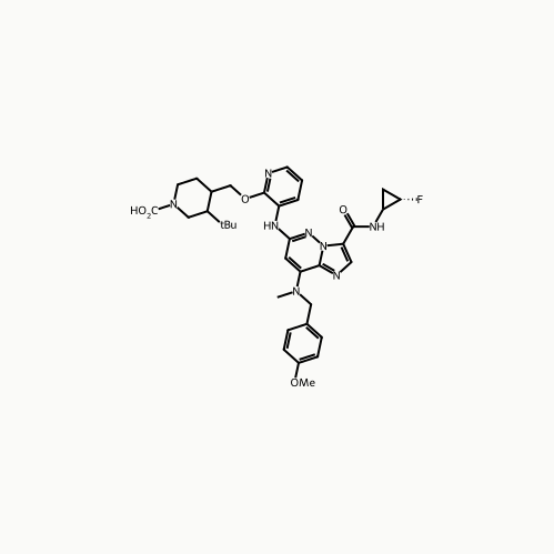 COc1ccc(CN(C)c2cc(Nc3cccnc3OCC3CCN(C(=O)O)CC3C(C)(C)C)nn3c(C(=O)NC4C[C@@H]4F)cnc23)cc1